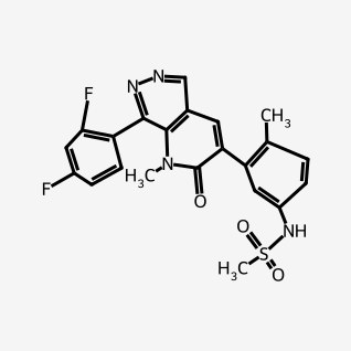 Cc1ccc(NS(C)(=O)=O)cc1-c1cc2cnnc(-c3ccc(F)cc3F)c2n(C)c1=O